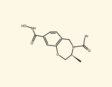 CC(C)C(=O)N1Cc2ccc(C(=O)NO)cc2OC[C@@H]1C